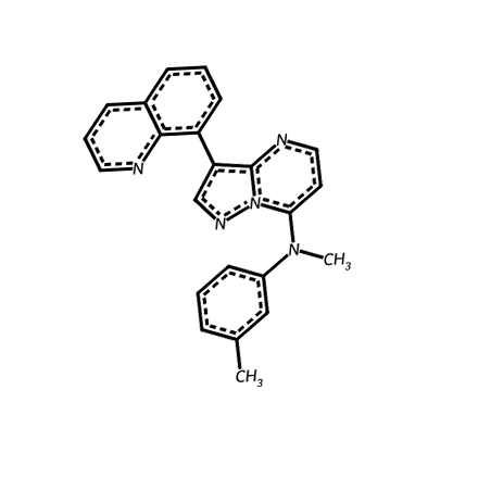 Cc1cccc(N(C)c2ccnc3c(-c4cccc5cccnc45)cnn23)c1